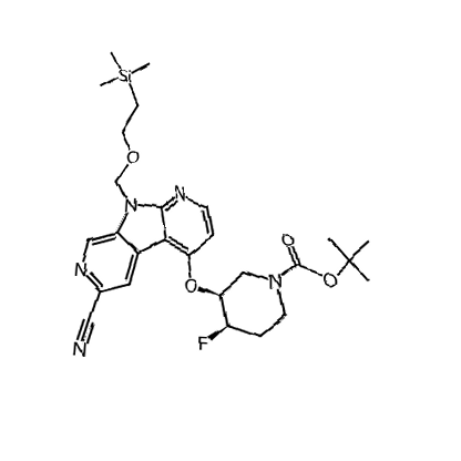 CC(C)(C)OC(=O)N1CC[C@@H](F)[C@@H](Oc2ccnc3c2c2cc(C#N)ncc2n3COCC[Si](C)(C)C)C1